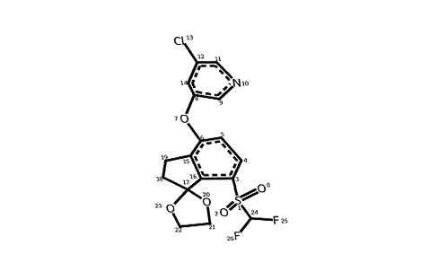 O=S(=O)(c1ccc(Oc2cncc(Cl)c2)c2c1C1(CC2)OCCO1)C(F)F